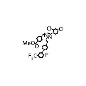 COC(=O)c1ccc(Cn2cc(-c3ccc(Cl)cc3Cl)nc2C=Cc2ccc(-c3cc(C(F)(F)F)ccc3F)cc2)cc1